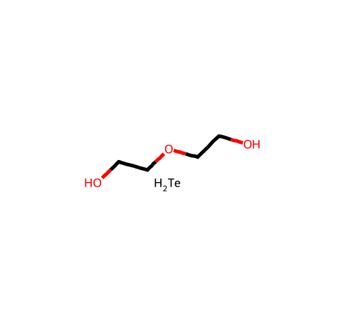 OCCOCCO.[TeH2]